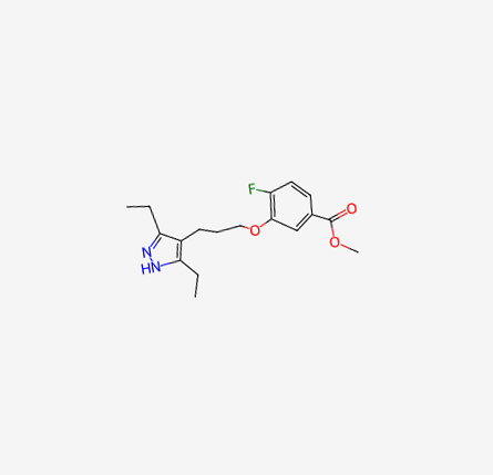 CCc1n[nH]c(CC)c1CCCOc1cc(C(=O)OC)ccc1F